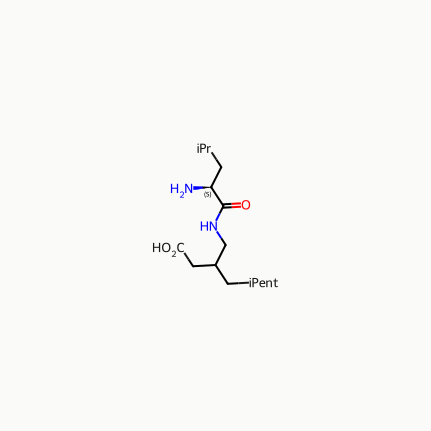 CCCC(C)CC(CNC(=O)[C@@H](N)CC(C)C)CC(=O)O